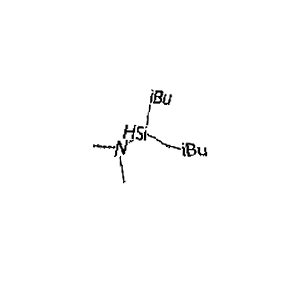 CCC(C)[SiH](C(C)CC)N(C)C